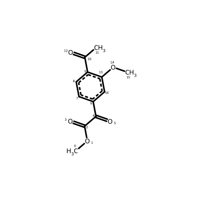 COC(=O)C(=O)c1ccc(C(C)=O)c(OC)c1